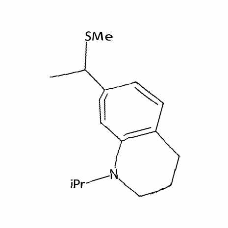 CSC(C)c1ccc2c(c1)N(C(C)C)CCC2